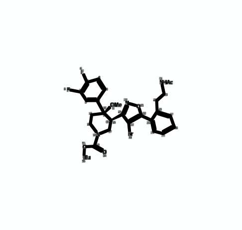 CO[C@]1(c2ccc(F)c(F)c2)CCN(C(=O)OC(C)(C)C)C[C@@H]1c1noc(-c2ccccc2CCNC(C)=O)c1Br